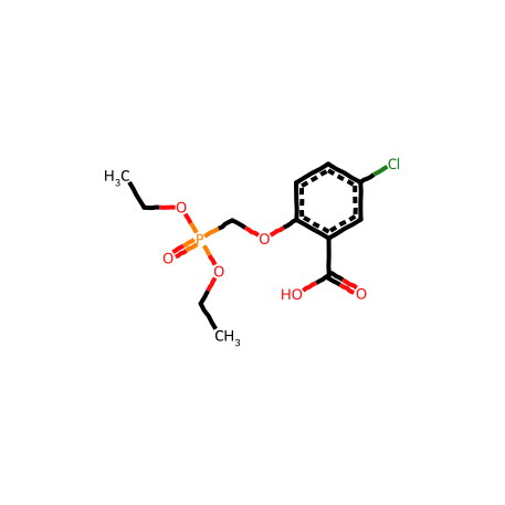 CCOP(=O)(COc1ccc(Cl)cc1C(=O)O)OCC